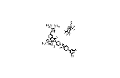 CN(c1ccc(CNC(CN)CN)cc1C(=O)Nc1ccc(S(=O)(=O)N2CCN(c3cc(Cl)cc(Cl)c3)CC2)cc1)S(C)(=O)=O.O=C(O)C(F)(F)F.O=C(O)C(F)(F)F